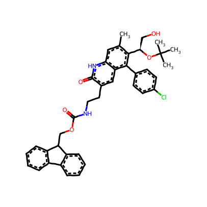 Cc1cc2[nH]c(=O)c(CCNC(=O)OCC3c4ccccc4-c4ccccc43)cc2c(-c2ccc(Cl)cc2)c1[C@@H](CO)OC(C)(C)C